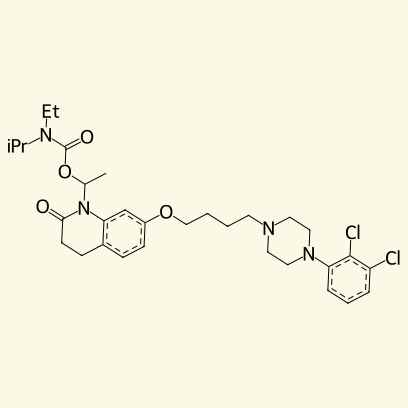 CCN(C(=O)OC(C)N1C(=O)CCc2ccc(OCCCCN3CCN(c4cccc(Cl)c4Cl)CC3)cc21)C(C)C